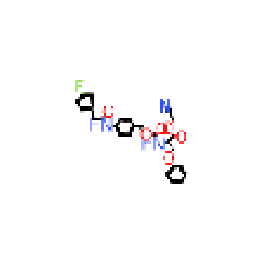 N#CCOC(=O)[C@@H](COc1ccccc1)NC(=O)OCc1ccc(NC(=O)Cc2ccc(F)cc2)cc1